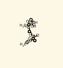 COc1cc2c(cc1OCc1cccc(CC(=O)N3C[C@@H](CCl)c4c3cc(OC(=O)N3CCN(C)CC3)c3ccccc43)c1)N(C(=O)O)C(O)[C@@H]1CCCCN1C2=O